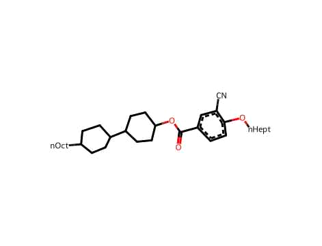 CCCCCCCCC1CCC(C2CCC(OC(=O)c3ccc(OCCCCCCC)c(C#N)c3)CC2)CC1